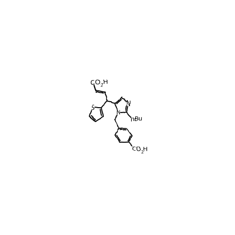 CCCCc1ncc(C(C=CC(=O)O)c2cccs2)n1Cc1ccc(C(=O)O)cc1